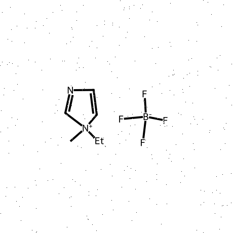 CC[N+]1(C)C=CN=C1.F[B-](F)(F)F